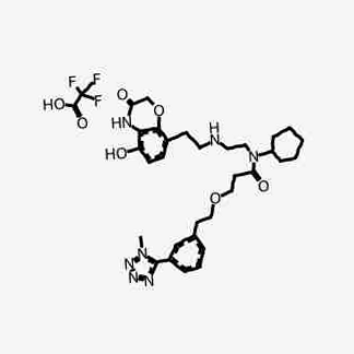 Cn1nnnc1-c1cccc(CCOCCC(=O)N(CCNCCc2ccc(O)c3c2OCC(=O)N3)C2CCCCC2)c1.O=C(O)C(F)(F)F